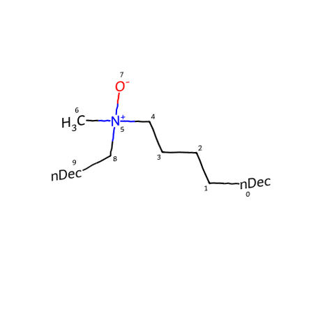 CCCCCCCCCCCCCC[N+](C)([O-])CCCCCCCCCCC